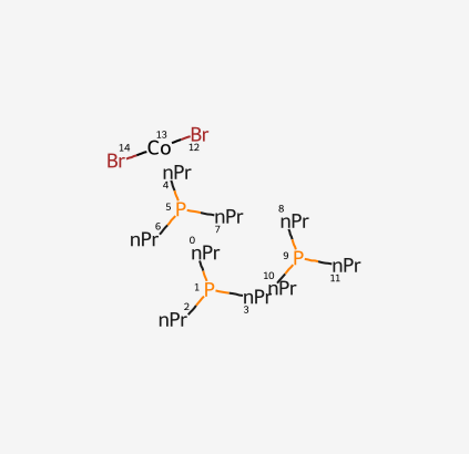 CCCP(CCC)CCC.CCCP(CCC)CCC.CCCP(CCC)CCC.[Br][Co][Br]